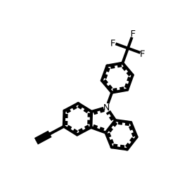 C#Cc1ccc2c(c1)c1ccccc1n2-c1ccc(C(F)(F)F)cc1